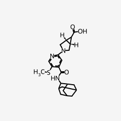 CSc1cnc(N2C[C@@H]3C(C(=O)O)[C@@H]3C2)cc1C(=O)NC1C2CC3CC(C2)CC1C3